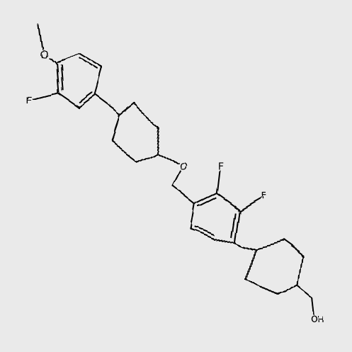 COc1ccc(C2CCC(OCc3ccc(C4CCC(CO)CC4)c(F)c3F)CC2)cc1F